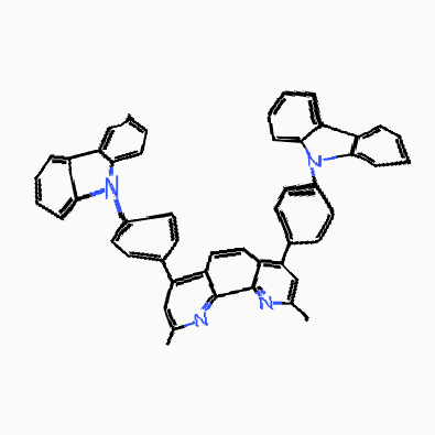 Cc1cc(-c2ccc(-n3c4ccccc4c4ccccc43)cc2)c2ccc3c(-c4ccc(-n5c6ccccc6c6ccccc65)cc4)cc(C)nc3c2n1